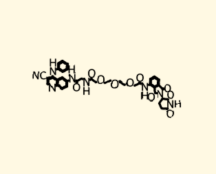 N#Cc1cnc2ccc(NC(=O)CNC(=O)COCCOCCOCC(=O)Nc3cccc4c3C(=O)N(C3CCC(=O)NC3=O)C4=O)cc2c1Nc1ccccc1